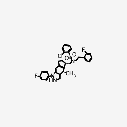 C[C@H]1C2=CNN(c3ccc(F)cc3)C2=CC2=C1[C@@H](CN(CCc1ccccc1F)S(=O)(=O)c1ccccc1Cl)CC2